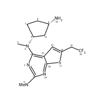 CNc1nc(N(C)[C@@H]2CC[C@H](N)C2)c2cc(CC(F)(F)F)sc2n1